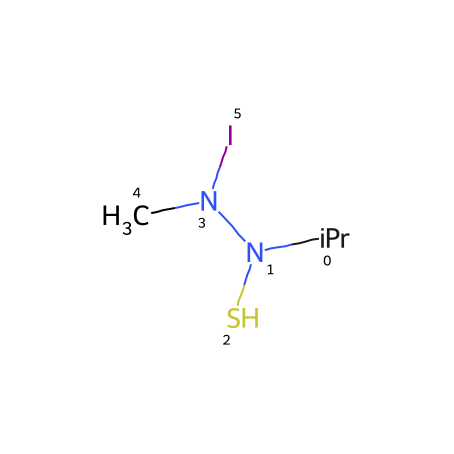 CC(C)N(S)N(C)I